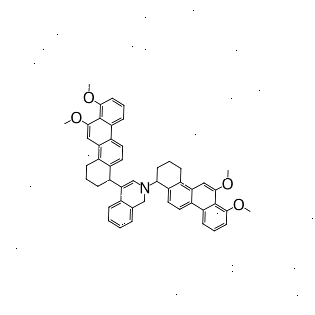 COc1cccc2c1c(OC)cc1c3c(ccc12)C(C1=CN(C2CCCc4c2ccc2c4cc(OC)c4c(OC)cccc42)Cc2ccccc21)CCC3